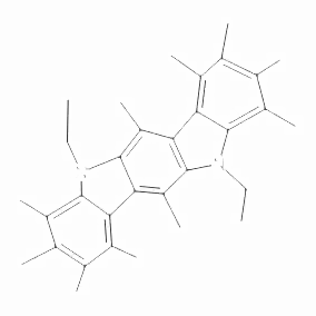 CCn1c2c(C)c(C)c(C)c(C)c2c2c(C)c3c(c(C)c21)c1c(C)c(C)c(C)c(C)c1n3CC